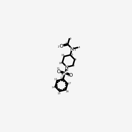 CC(=O)N(C)C1CCN(S(=O)(=O)c2ccccc2)CC1